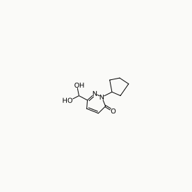 O=c1ccc(C(O)O)nn1C1CCCC1